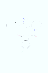 CCCC(=N)CC1COCCN1C(=O)C1CC(=O)c2cc(Cl)ccc21